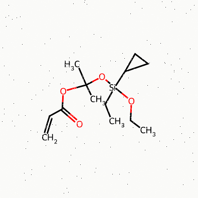 C=CC(=O)OC(C)(C)O[Si](CC)(OCC)C1CC1